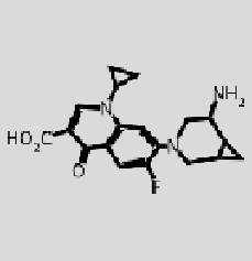 NC1CN(c2cc3c(cc2F)c(=O)c(C(=O)O)cn3C2CC2)CC2CC12